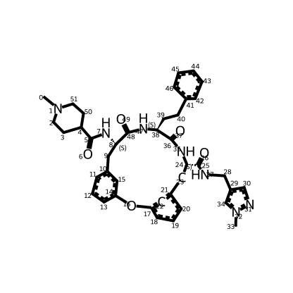 CN1CCC(C(=O)N[C@H]2Cc3cccc(c3)Oc3cccc(c3)C[C@@H](C(=O)NCc3cnn(C)c3)NC(=O)[C@H](CCc3ccccc3)NC2=O)CC1